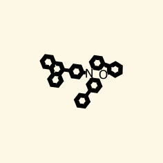 c1ccc(-c2cccc(N(c3ccc(-c4cc5ccccc5c5ccccc45)cc3)c3cccc4c3oc3ccccc34)c2)cc1